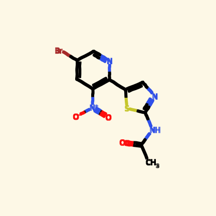 CC(=O)Nc1ncc(-c2ncc(Br)cc2[N+](=O)[O-])s1